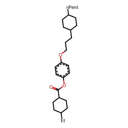 CCCCCC1CCC(CCCOc2ccc(OC(=O)C3CCC(CC)CC3)cc2)CC1